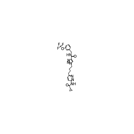 O=C(NCc1cccc(OC(F)(F)F)c1)c1cn(CCCCc2ccc(NC(=O)C3CC3)nn2)nn1